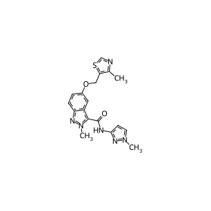 Cc1ncsc1COc1ccc2nn(C)c(C(=O)Nc3ccn(C)n3)c2c1